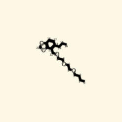 CCCCOCCOCCOCc1c(CCC)ccc2c1OCO2